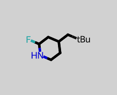 CC(C)(C)CC1CCNC(F)C1